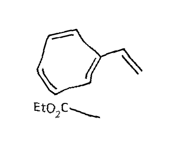 C=Cc1ccccc1.CCOC(C)=O